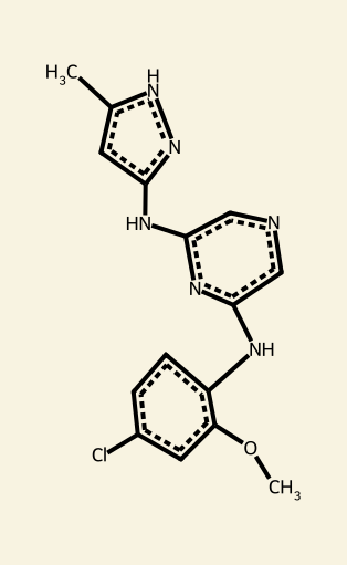 COc1cc(Cl)ccc1Nc1cncc(Nc2cc(C)[nH]n2)n1